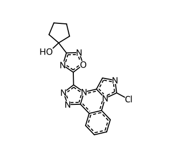 OC1(c2noc(-c3nnc4c5ccccc5n5c(Cl)ncc5n34)n2)CCCC1